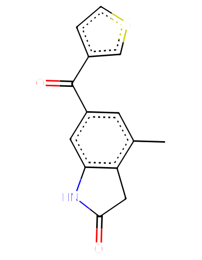 Cc1cc(C(=O)c2ccsc2)cc2c1CC(=O)N2